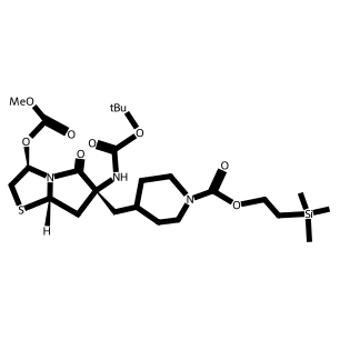 COC(=O)O[C@@H]1CS[C@H]2C[C@@](CC3CCN(C(=O)OCC[Si](C)(C)C)CC3)(NC(=O)OC(C)(C)C)C(=O)N21